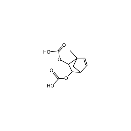 CC12C=CC(C1)C(OC(=O)O)C2OC(=O)O